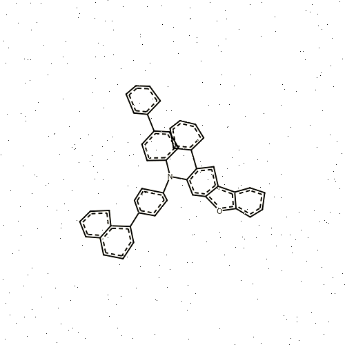 c1ccc(-c2ccc(N(c3ccc(-c4cccc5ccccc45)cc3)c3cc4oc5ccccc5c4cc3-c3ccccc3)cc2)cc1